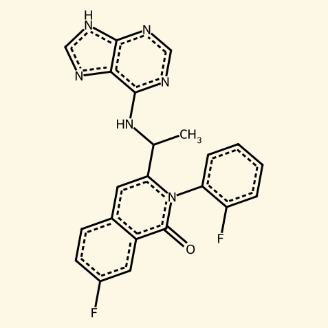 CC(Nc1ncnc2[nH]cnc12)c1cc2ccc(F)cc2c(=O)n1-c1ccccc1F